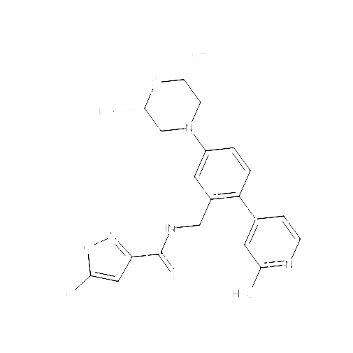 Cc1cc(-c2ccc(N3C[C@@H](C)O[C@@H](C)C3)cc2CNC(=O)c2cc(C)on2)ccn1